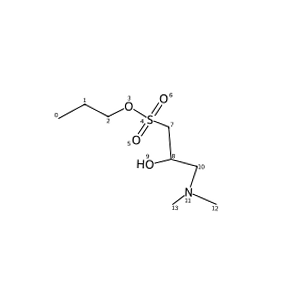 CCCOS(=O)(=O)CC(O)CN(C)C